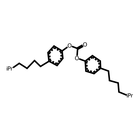 CC(C)CCCCc1ccc(OC(=O)Oc2ccc(CCCCC(C)C)cc2)cc1